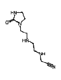 N#CCNCCNCCN1CCNC1=O